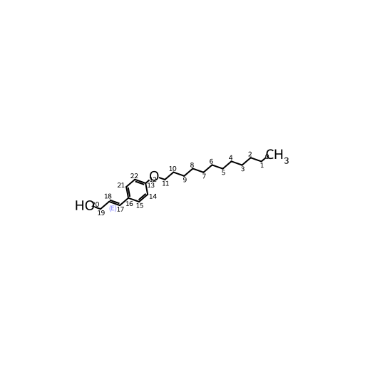 CCCCCCCCCCCCOc1ccc(/C=C/CO)cc1